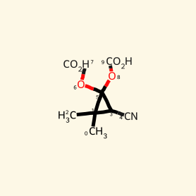 CC1(C)C(C#N)C1(OC(=O)O)OC(=O)O